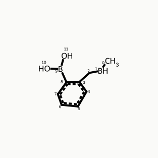 CBCc1ccccc1B(O)O